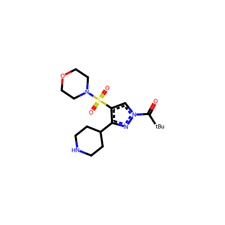 CC(C)(C)C(=O)n1cc(S(=O)(=O)N2CCOCC2)c(C2CCNCC2)n1